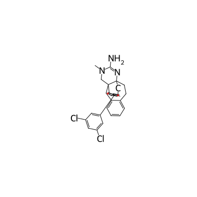 CN1CC23Cc4ccccc4CCC2(Cc2ccc(-c4cc(Cl)cc(Cl)c4)cc23)N=C1N